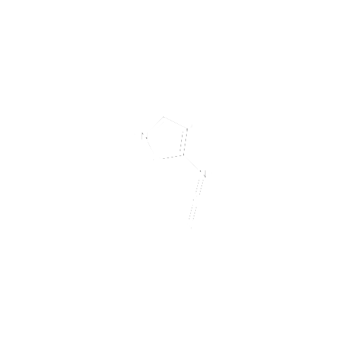 S=C=Nc1ccno1